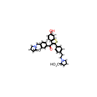 COc1cc(C(=O)c2c(-c3ccc(CCN4CCC[C@H]4C(=O)O)cc3)sc3cc(O)ccc23)ccc1CN1CCCC1